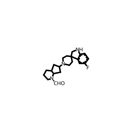 O=CN1CCCC2CC(N3CCC4(CC3)CNc3ccc(F)cc34)CC21